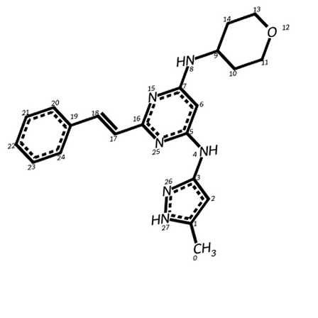 Cc1cc(Nc2cc(NC3CCOCC3)nc(/C=C/c3ccccc3)n2)n[nH]1